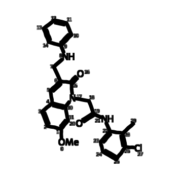 COc1ccc2cc(CNc3ccccc3)c(=O)n(CC(=O)Nc3cccc(Cl)c3C)c2c1